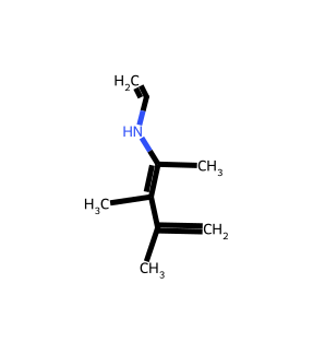 C=CN/C(C)=C(\C)C(=C)C